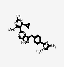 COc1nc(C)nc(C2CC2)c1-c1ncc2[nH]nc(Cc3ccc(-c4nc(C(F)(F)F)cn4C)cc3)c2n1